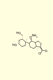 C[C@]12CCC([C@@]3(C)CC[C@H](O)C[C@@H]3CO)[C@@H](ON)C1CCC2=C(Cl)Cl